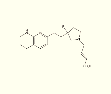 O=C(O)C=CCN1CCC(F)(CCc2ccc3c(n2)NCCC3)C1